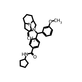 C=CCN1C2CCCC1CN(C(c1ccc(C(=O)NC3CCCC3)cc1)c1cccc(OC)c1)CC2